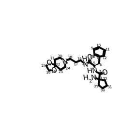 NC1(C(=O)N[C@H](Cc2ccccc2)C(=O)NCCCN2CCC3(CC2)OCCO3)CCCC1